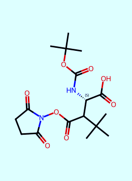 CC(C)(C)OC(=O)N[C@H](C(=O)O)C(C(=O)ON1C(=O)CCC1=O)C(C)(C)C